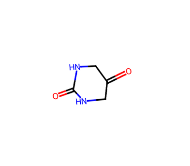 O=C1CNC(=O)NC1